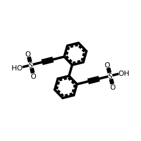 O=S(=O)(O)C#Cc1ccccc1-c1ccccc1C#CS(=O)(=O)O